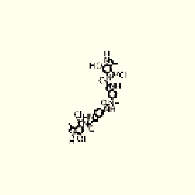 Cc1c[nH]c2c1C1C(=CC2O)N(C(=O)c2cc3cc(NC(=O)Nc4ccc5[nH]c(C(=O)N6C[C@@H](CCl)c7c6cc(O)c6[nH]cc(C)c76)cc5c4)ccc3[nH]2)C[C@H]1CCl